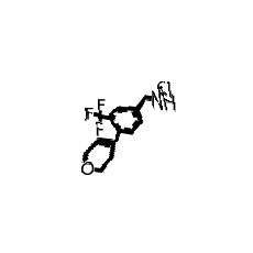 FC(F)(F)c1cc(CNCl)ccc1C1=CCOCC1